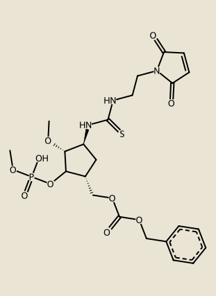 CO[C@H]1C(OP(=O)(O)OC)[C@@H](COC(=O)OCc2ccccc2)C[C@@H]1NC(=S)NCCN1C(=O)C=CC1=O